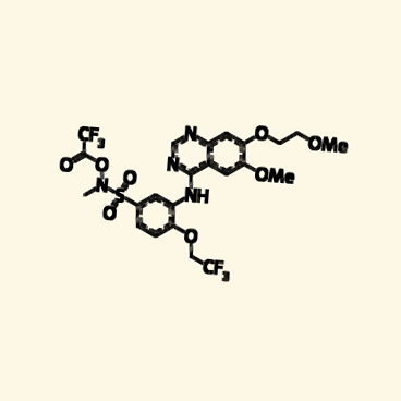 COCCOc1cc2ncnc(Nc3cc(S(=O)(=O)N(C)OC(=O)C(F)(F)F)ccc3OCC(F)(F)F)c2cc1OC